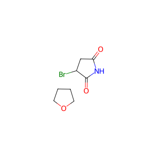 C1CCOC1.O=C1CC(Br)C(=O)N1